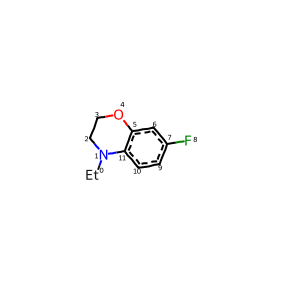 CCN1CCOc2cc(F)ccc21